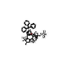 CC1=C[C@H]2[C@@]3(O)[C@H](C)C[C@]4(OC(=O)c5ccccc5)[C@@H]([C@@H]3C=C(COC(c3ccccc3)(c3ccccc3)c3ccccc3)C[C@]2(O)C1=O)C4(C)COS(C)(=O)=O